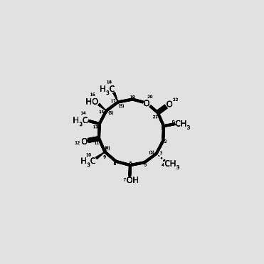 CC1C[C@H](C)CC(O)C[C@@H](C)C(=O)C(C)[C@@H](O)[C@@H](C)COC1=O